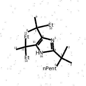 CCCCCC(C)(C)c1nc(C(C)(C)CC)c(C(C)(CC)CC)[nH]1